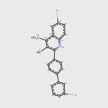 N#Cc1c(-c2ccc(-c3cccc(F)c3)cc2)nc2ccc(F)cc2c1C(=O)O